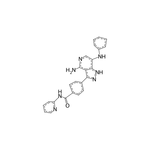 Nc1ncc(Nc2ccccc2)c2[nH]nc(-c3ccc(C(=O)Nc4ccccn4)cc3)c12